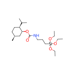 CCO[Si](CCCNC(=O)O[C@H]1C[C@@H](C)CC[C@H]1C(C)C)(OCC)OCC